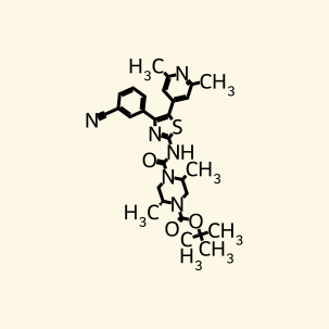 Cc1cc(-c2sc(NC(=O)N3C[C@H](C)N(C(=O)OC(C)(C)C)CC3C)nc2-c2cccc(C#N)c2)cc(C)n1